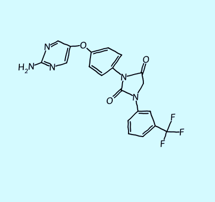 Nc1ncc(Oc2ccc(N3C(=O)CN(c4cccc(C(F)(F)F)c4)C3=O)cc2)cn1